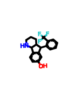 Oc1ccc2c(c1)C(c1ccccc1C(F)(F)F)C1CCCNC21